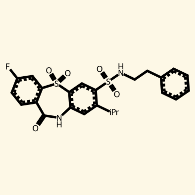 CC(C)c1cc2c(cc1S(=O)(=O)NCCc1ccccc1)S(=O)(=O)c1cc(F)ccc1C(=O)N2